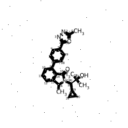 Cc1nnc(-c2ccc(-c3cccc4c3C(=O)N([C@H](C3CC3)C(C)(C)O)C4C)cc2)o1